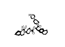 O=C(OC(Cc1ccc2c(c1)CCCC2)C(=O)N1CCC(N2CCNCC2)CC1)N1CCC(N2CCc3ccccc3NC2=O)CC1